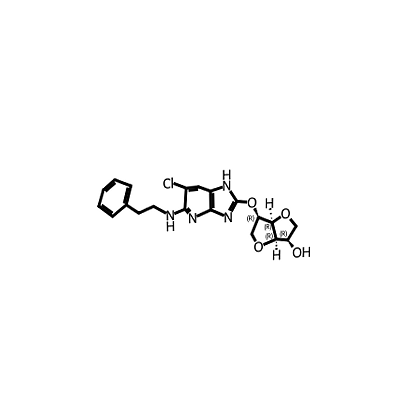 O[C@@H]1CO[C@H]2[C@@H]1OC[C@H]2Oc1nc2nc(NCCc3ccccc3)c(Cl)cc2[nH]1